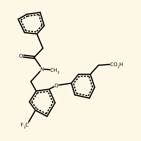 CN(Cc1cc(C(F)(F)F)ccc1Oc1cccc(CC(=O)O)c1)C(=O)Cc1ccccc1